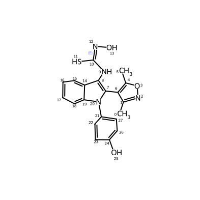 Cc1noc(C)c1-c1c(N/C(S)=N\O)c2ccccc2n1-c1ccc(O)cc1